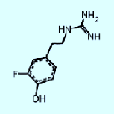 N=C(N)NCCc1ccc(O)c(F)c1